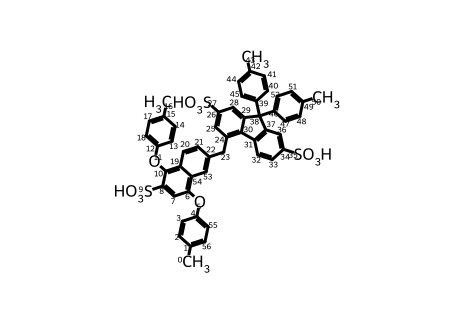 Cc1ccc(Oc2cc(S(=O)(=O)O)c(Oc3ccc(C)cc3)c3ccc(Cc4cc(S(=O)(=O)O)cc5c4-c4ccc(S(=O)(=O)O)cc4C5(c4ccc(C)cc4)c4ccc(C)cc4)cc23)cc1